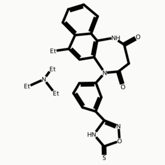 CCN(CC)CC.CCc1cc2c(c3ccccc13)NC(=O)CC(=O)N2c1cccc(-c2noc(=S)[nH]2)c1